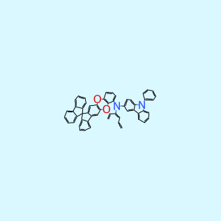 C=C/C=C(\C=C)N(c1ccc2c(c1)c1ccccc1n2-c1ccccc1)c1cccc2c1Oc1cc3c(cc1O2)C1(c2ccccc2-c2ccccc21)c1ccccc1-3